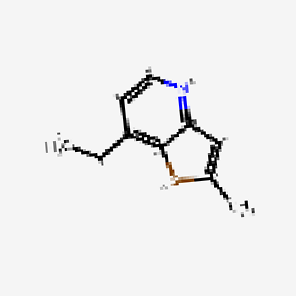 CCc1ccnc2cc(C)sc12